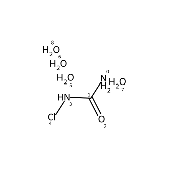 NC(=O)NCl.O.O.O.O